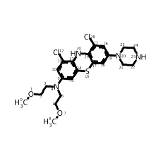 COCCN(CCOC)c1cc(Cl)c2c(c1)Sc1cc(N3CCNCC3)cc(Cl)c1N2